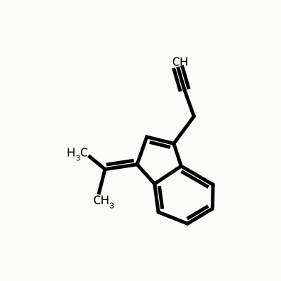 C#CCC1=CC(=C(C)C)c2ccccc21